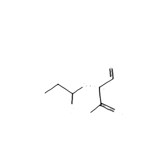 C=C[C@@H](NC(S)CC)C(=O)O